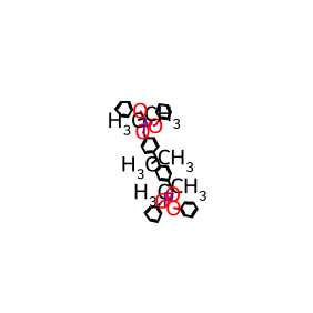 CC(C)(OP(Oc1ccccc1)Oc1ccccc1)c1ccc(C(C)(C)c2ccc(OP(Oc3ccccc3)C(C)(C)Oc3ccccc3)cc2)cc1